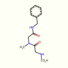 CN(CC(=O)NCc1ccccc1)C(=O)CNC(=O)O